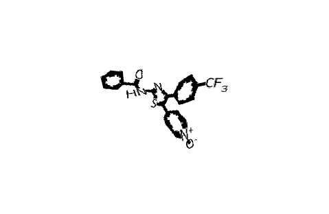 O=C(Nc1nc(-c2ccc(C(F)(F)F)cc2)c(-c2cc[n+]([O-])cc2)s1)c1ccccc1